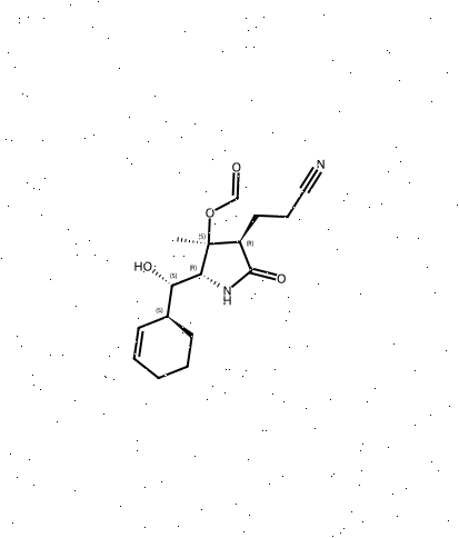 C[C@@]1(OC=O)[C@@H]([C@@H](O)[C@@H]2C=CCCC2)NC(=O)[C@@H]1CCC#N